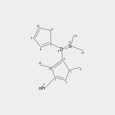 CCCC1=CC(C)[C]([Zr]([C]2=CC=CC2)=[Si](C)C)=C1C